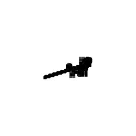 CCCCCCCCCCCCCC(=O)NCCCC(CC(=O)O)NC(=O)C1OC(C)(C)OCC1(C)C